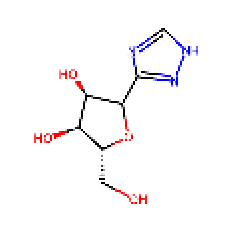 OC[C@H]1OC(c2nc[nH]n2)[C@H](O)[C@@H]1O